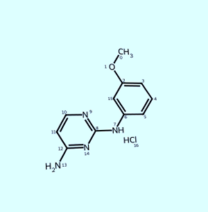 COc1cccc(Nc2nccc(N)n2)c1.Cl